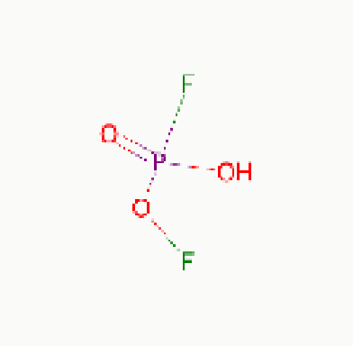 O=P(O)(F)OF